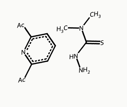 CC(=O)c1cccc(C(C)=O)n1.CN(C)C(=S)NN